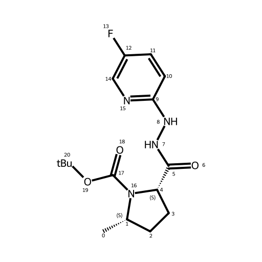 C[C@H]1CC[C@@H](C(=O)NNc2ccc(F)cn2)N1C(=O)OC(C)(C)C